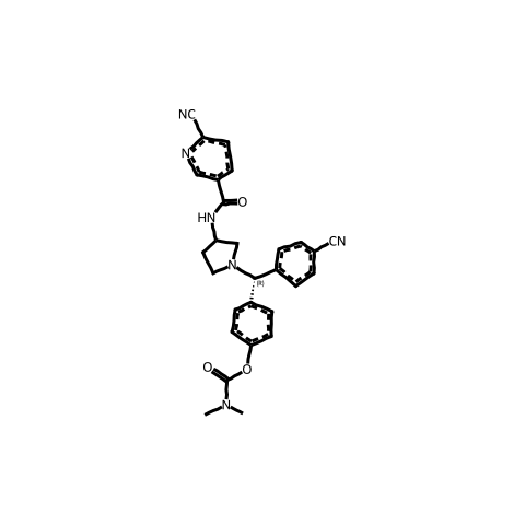 CN(C)C(=O)Oc1ccc([C@@H](c2ccc(C#N)cc2)N2CCC(NC(=O)c3ccc(C#N)nc3)C2)cc1